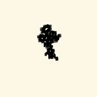 Cc1cc(Cn2cnc3c2C[C@@H](C(=O)N(C)C)N(C(=O)C(c2ccccc2)c2ccccc2)C3)ccc1N